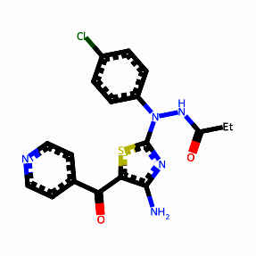 CCC(=O)NN(c1ccc(Cl)cc1)c1nc(N)c(C(=O)c2ccncc2)s1